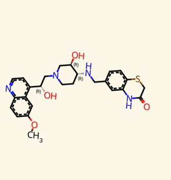 COc1ccc2nccc([C@@H](O)CN3CC[C@@H](NCc4ccc5c(c4)NC(=O)CS5)[C@H](O)C3)c2c1